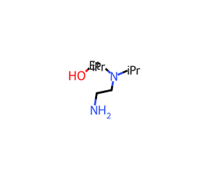 CC(C)N(CCN)C(C)C.CCO